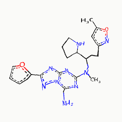 Cc1cc(CC(C2CCCN2)N(C)c2nc(N)n3nc(-c4ccco4)nc3n2)no1